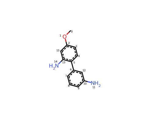 COc1ccc(-c2cccc(N)c2)c(N)c1